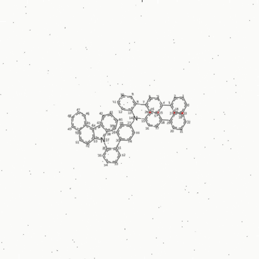 c1ccc(-c2ccc(-c3ccccc3N(c3ccc(-c4ccccc4)cc3)c3ccc(-c4ccccc4-n4c5ccccc5c5c6ccccc6ccc54)cc3)cc2)cc1